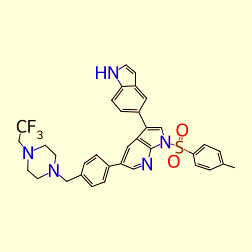 Cc1ccc(S(=O)(=O)n2cc(-c3ccc4[nH]ccc4c3)c3cc(-c4ccc(CN5CCN(CC(F)(F)F)CC5)cc4)cnc32)cc1